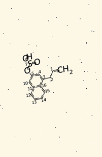 C=CCc1cc(O[SH](=O)=O)cc2ccccc12